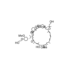 CO[C@@H]1C[C@H](C[C@@H](C)[C@@H]2CC(=O)[C@H](C)/C=C(\C)[C@@H](O)[C@@H](OC)C(=O)[C@H](C)C[C@H](C)/C=C/C=C/C=C(\C)[C@H](OC(C)(C)CCO)C[C@@H]3CC[C@@H](C)[C@@](O)(O3)C(=O)C(=O)N3CCCC[C@H]3C(=O)O2)CC[C@H]1OCCO